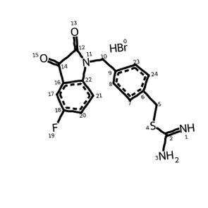 Br.N=C(N)SCc1ccc(CN2C(=O)C(=O)c3cc(F)ccc32)cc1